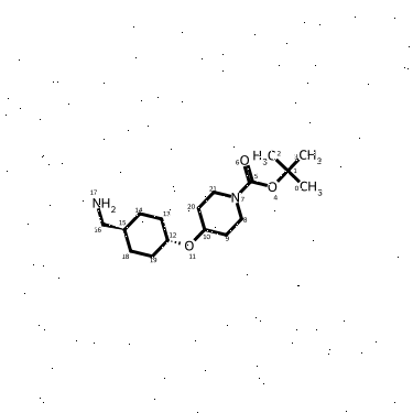 CC(C)(C)OC(=O)N1CCC(O[C@H]2CC[C@H](CN)CC2)CC1